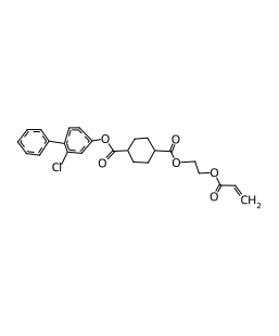 C=CC(=O)OCCOC(=O)C1CCC(C(=O)Oc2ccc(-c3ccccc3)c(Cl)c2)CC1